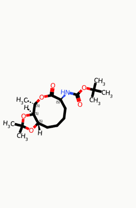 C[C@@H]1OC(=O)[C@@H](NC(=O)OC(C)(C)C)CCCC[C@@H]2OC(C)(C)O[C@@H]12